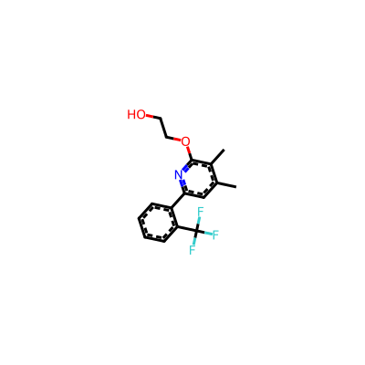 Cc1cc(-c2ccccc2C(F)(F)F)nc(OCCO)c1C